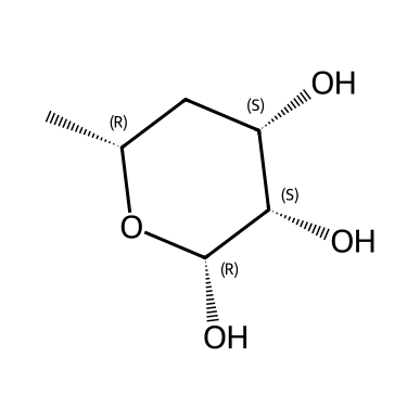 C[C@@H]1C[C@H](O)[C@H](O)[C@H](O)O1